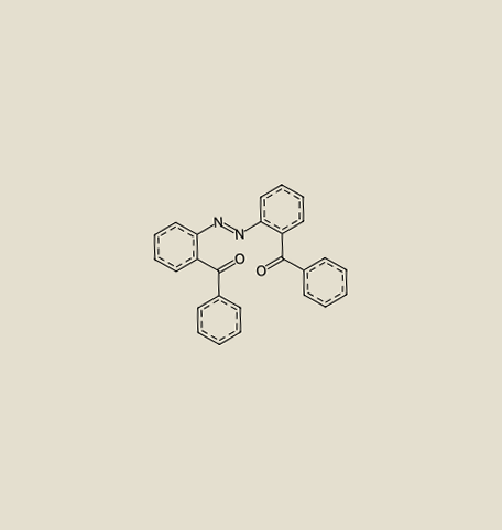 O=C(c1ccccc1)c1ccccc1N=Nc1ccccc1C(=O)c1ccccc1